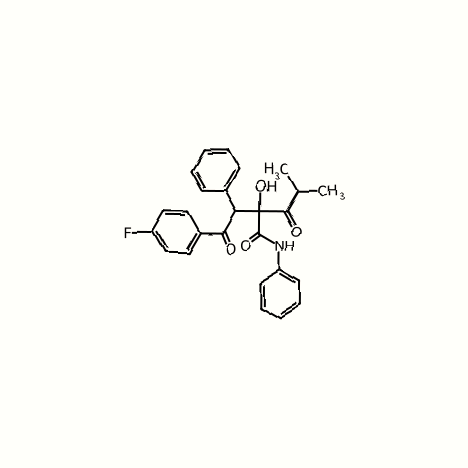 CC(C)C(=O)C(O)(C(=O)Nc1ccccc1)C(C(=O)c1ccc(F)cc1)c1ccccc1